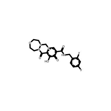 O=C(NCc1ccc(F)cc1F)c1cn2c(c(O)c1=O)C(=O)N1CCOCCN1C2